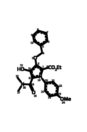 CCOC(=O)c1c(OCc2ccccc2)c(O)c(C(=O)N(C)C)n1-c1ccc(OC)cc1